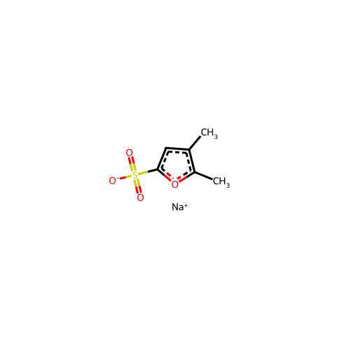 Cc1cc(S(=O)(=O)[O-])oc1C.[Na+]